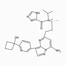 CC(C)N(C(=O)c1nnc[nH]1)[C@H](C)CCc1cc(N)n2ncc(-c3ccc(C4(O)CCC4)nc3)c2n1